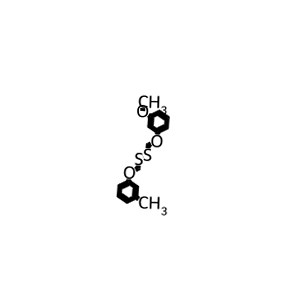 COc1cccc(OCSSCOc2cccc(C)c2)c1